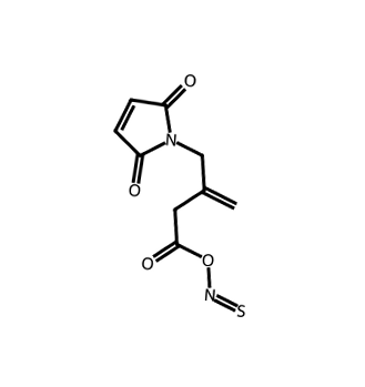 C=C(CC(=O)ON=S)CN1C(=O)C=CC1=O